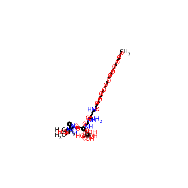 CCOCc1nc2c(NC(=O)OCc3ccc(O[C@@H]4O[C@H](C(=O)O)[C@@H](O)[C@H](O)[C@H]4O)c(NC(=O)CCNC(=O)[C@@H](N)CCCCNC(=O)CCOCCOCCOCCOCCOCCOCCOCCOCCOCCOCCOCCOC)c3)nc3ccccc3c2n1CC(C)(C)O